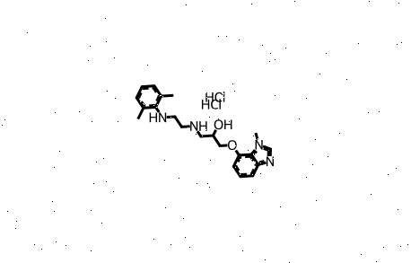 Cc1cccc(C)c1NCCNCC(O)COc1cccc2ncn(C)c12.Cl.Cl